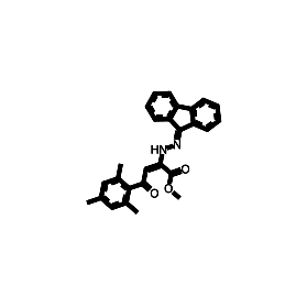 COC(=O)C(=CC(=O)c1c(C)cc(C)cc1C)NN=C1c2ccccc2-c2ccccc21